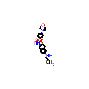 CCCNc1ccc2c(c1)CCC(NS(=O)(=O)c1ccc(N3CCOCC3)cc1)C2